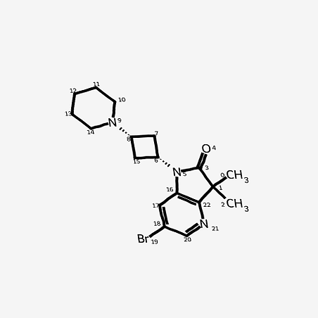 CC1(C)C(=O)N([C@H]2C[C@@H](N3CCCCC3)C2)c2cc(Br)cnc21